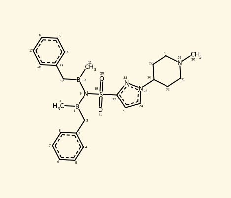 CB(Cc1ccccc1)N(B(C)Cc1ccccc1)S(=O)(=O)c1ccn(C2CCN(C)CC2)n1